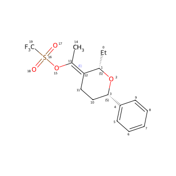 CC[C@@H]1O[C@H](c2ccccc2)CC/C1=C(/C)OS(=O)(=O)C(F)(F)F